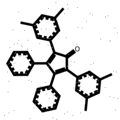 Cc1cc(C)cc(C2=C(c3ccccc3)C(c3ccccc3)=C(c3cc(C)cc(C)c3)C2=O)c1